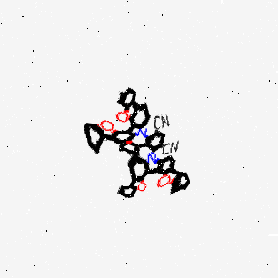 N#Cc1cc(C#N)c(-n2c3ccc4c5ccccc5oc4c3c3c4oc5ccccc5c4ccc32)c(-c2ccccc2)c1-n1c2ccc3c4ccccc4oc3c2c2c3oc4ccccc4c3ccc21